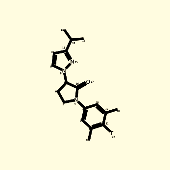 Cc1cc(N2CCC(n3ccc(C(C)C)n3)C2=O)cc(C)c1F